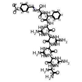 N=C(N)NC(NC(=O)C(NC(=N)N)NC(=O)C(NC(=N)N)NC(=O)C(NC(=N)N)NC(=O)C(NC(=O)C(O)/N=C/c1ccc([N+](=O)[O-])cc1)c1ccccc1)C(=O)NC(N)C(N)=O